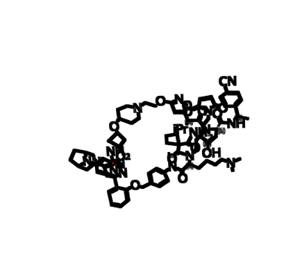 CC(C)[C@@H](C(=O)N1C[C@H](O)C[C@H]1C(=O)N[C@H](C)c1ccc(C#N)cc1)c1cc(OCCN2CCC(OC3CC(Oc4cc(N5C6CCC5CN(c5cc(-c7ccccc7OCc7ccc(NC(=O)[C@H](CCCCN(C)C)N(CCCCCN8C(=O)C=CC8=O)C(=O)C8(C(N)=O)CCC8)cc7)nnc5N)C6)ccn4)C3)CC2)no1